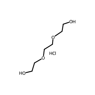 Cl.OCCOCCOCCO